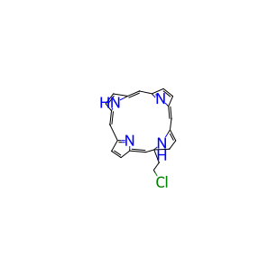 ClCCC12C=C3C=CC(=N3)C=c3ccc([nH]3)=CC3=NC(=CC(=CC1)N2)C=C3